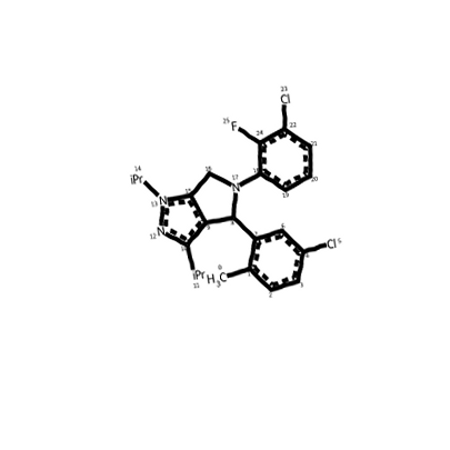 Cc1ccc(Cl)cc1C1c2c(C(C)C)nn(C(C)C)c2CN1c1cccc(Cl)c1F